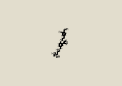 CC(C)Cc1ccc(CCCOc2ccc(CNCCCP(=O)(O)O)cc2-c2ccoc2)cc1Br